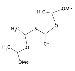 COC(C)OC(C)SC(C)OC(C)OC